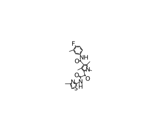 Cc1csc(NC(=O)C(=O)c2c(C)c(C(=O)Nc3ccc(F)c(C)c3)c(C)n2C)n1